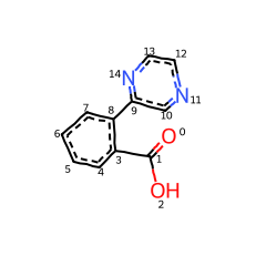 O=C(O)c1ccccc1-c1cnccn1